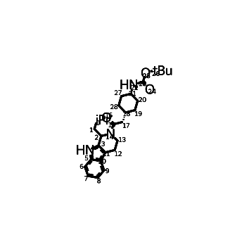 CC(C)CC1c2[nH]c3ccccc3c2CCN1C(=O)C[C@H]1CC[C@H](NC(=O)OC(C)(C)C)CC1